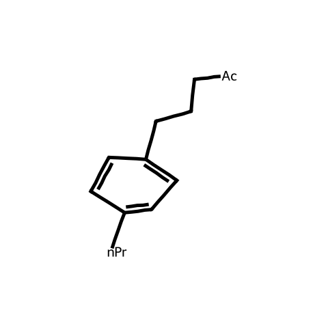 CCCc1ccc(CCCC(C)=O)cc1